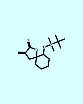 C=C1CC2(CCCCC2O[Si](C)(C)C(C)(C)C)OC1=O